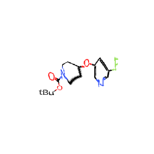 CC(C)(C)OC(=O)N1CCC(Oc2cncc(F)c2)CC1